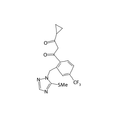 CSc1ncnn1Cc1cc(C(F)(F)F)ccc1C(=O)CC(=O)C1CC1